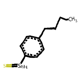 CCCCc1cc[c]([SnH]=[S])cc1